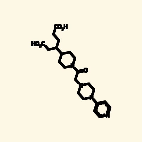 O=C(O)CCC(CC(=O)O)C1CCN(C(=O)CN2CCN(c3ccncc3)CC2)CC1